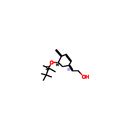 C=C1C=C/C(=C\CO)C[C@H]1O[Si](C)(C)C(C)(C)C